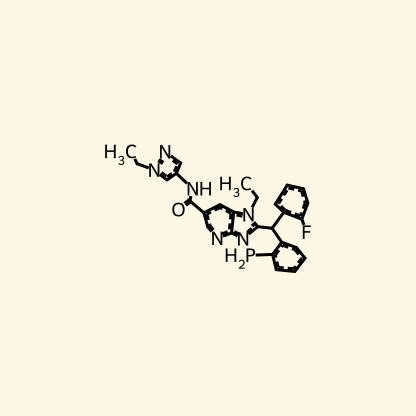 CCn1cc(NC(=O)c2cnc3nc(C(c4ccccc4F)c4ccccc4P)n(CC)c3c2)cn1